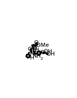 COC(=O)c1csc(NC(=O)[C@H](Cc2ccccc2)NC(=O)[C@H](N)c2ccc(OC[C@@H](O)CO)cc2)n1